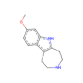 COc1ccc2c3c([nH]c2c1)CCNCC3